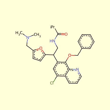 CC(C)C(=O)NCC(c1ccc(CN(C)C)o1)c1cc(Cl)c2cccnc2c1OCc1ccccc1